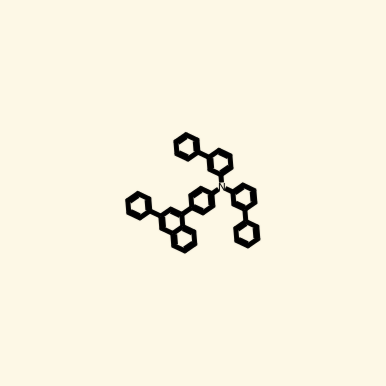 c1ccc(-c2cccc(N(c3ccc(-c4cc(-c5ccccc5)cc5ccccc45)cc3)c3cccc(-c4ccccc4)c3)c2)cc1